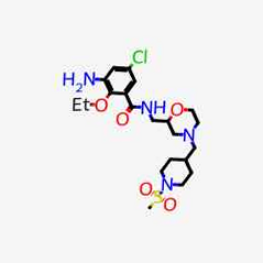 CCOc1c(N)cc(Cl)cc1C(=O)NCC1CN(CC2CCN(S(C)(=O)=O)CC2)CCO1